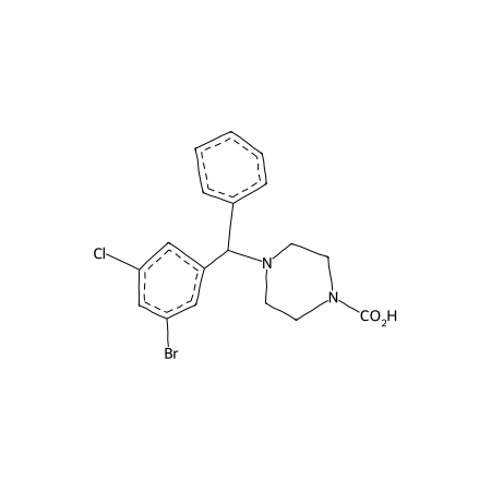 O=C(O)N1CCN(C(c2ccccc2)c2cc(Cl)cc(Br)c2)CC1